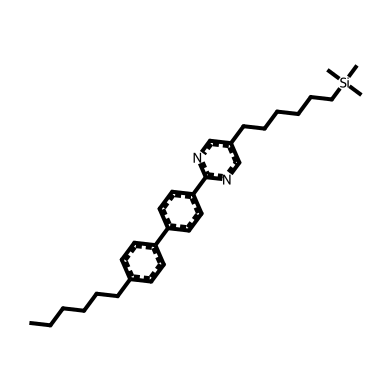 CCCCCCc1ccc(-c2ccc(-c3ncc(CCCCCC[Si](C)(C)C)cn3)cc2)cc1